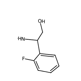 [NH]C(CO)c1ccccc1F